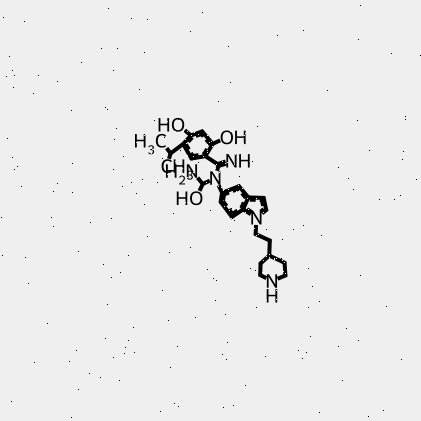 CC(C)c1cc(C(=N)N(c2ccc3c(ccn3CCC3CCNCC3)c2)C(N)O)c(O)cc1O